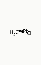 C=C[CH2][Pb][Cl]